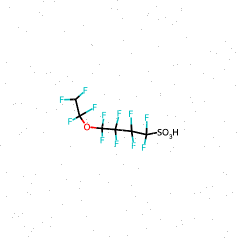 O=S(=O)(O)C(F)(F)C(F)(F)C(F)(F)C(F)(F)OC(F)(F)C(F)F